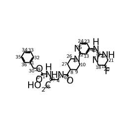 O=C(N[C@@H](CNC(=O)C1CCN(c2cc(NC3=NCC(F)CN3)ccn2)CC1)C(=O)O)OCc1ccccc1